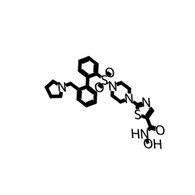 O=C(NO)c1cnc(N2CCN(S(=O)(=O)c3ccccc3-c3ccccc3CN3CCCC3)CC2)s1